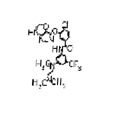 CN(C)CCN(C)c1cc(NC(=O)c2ccc(Cl)c(Oc3ncnc4c3OCCN4)c2)cc(C(F)(F)F)c1